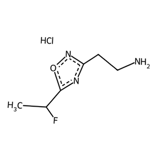 CC(F)c1nc(CCN)no1.Cl